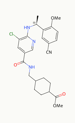 COC(=O)C1CCC(CNC(=O)c2cnc(N[C@@H](C)c3cc(C#N)ccc3OC)c(Cl)c2)CC1